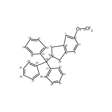 FC(F)(F)Oc1ccc2c(c1)CN(C(c1ccccc1)(c1ccccc1)c1ccccc1)C2